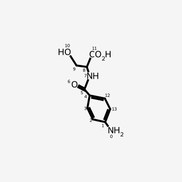 Nc1ccc(C(=O)NC(CO)C(=O)O)cc1